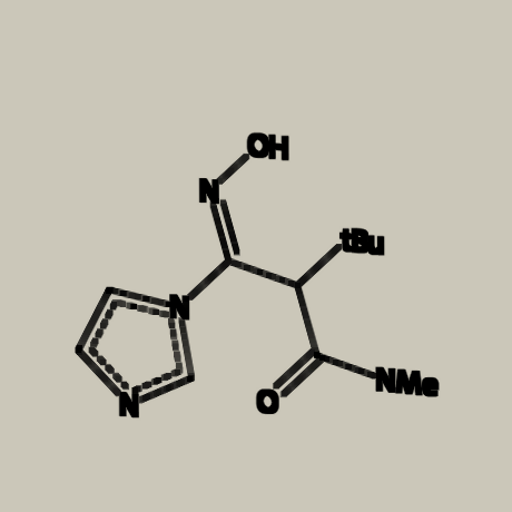 CNC(=O)C(C(=NO)n1ccnc1)C(C)(C)C